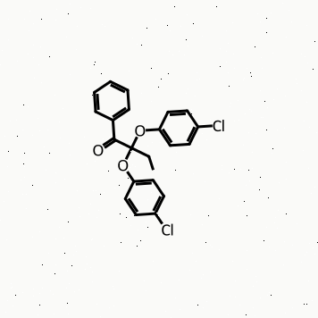 CCC(Oc1ccc(Cl)cc1)(Oc1ccc(Cl)cc1)C(=O)c1ccccc1